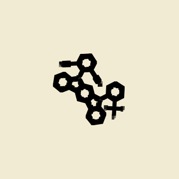 N#Cc1cccc(C#N)c1-n1c2ccccc2c2cc3c4ccccc4n(-c4ccccc4C(F)(F)F)c3cc21